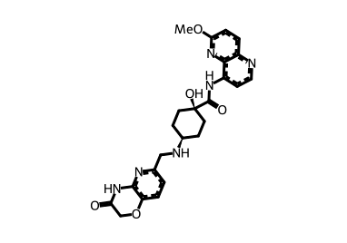 COc1ccc2nccc(NC(=O)[C@]3(O)CC[C@@H](NCc4ccc5c(n4)NC(=O)CO5)CC3)c2n1